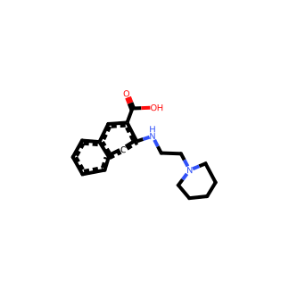 O=C(O)c1cc2ccccc2cc1NCCN1CCCCC1